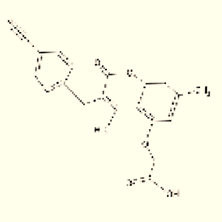 Cc1cc(OCC(=O)O)c2c(C)c(Cc3ccc(C#N)cc3)c(=O)oc2c1